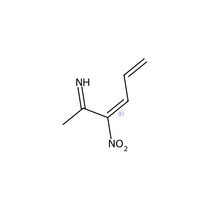 C=C/C=C(\C(C)=N)[N+](=O)[O-]